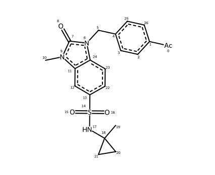 CC(=O)c1ccc(Cn2c(=O)n(C)c3cc(S(=O)(=O)NC4(C)CC4)ccc32)cc1